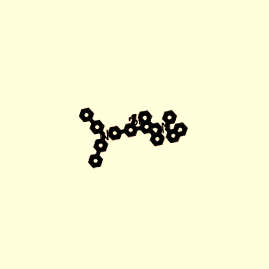 C[Si]1(C)c2cc(-c3ccc(N(c4ccc(-c5ccccc5)cc4)c4ccc(-c5ccccc5)cc4)cc3)ccc2-c2cc3c4ccccc4c(N(c4ccccc4)c4cccc5ccccc45)cc3c3cccc1c23